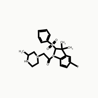 CC1CN(CC(=O)N2c3ccc(F)cc3C(C)(C)C2S(=O)(=O)c2ccccc2)CCN1